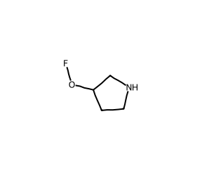 FOC1CCNC1